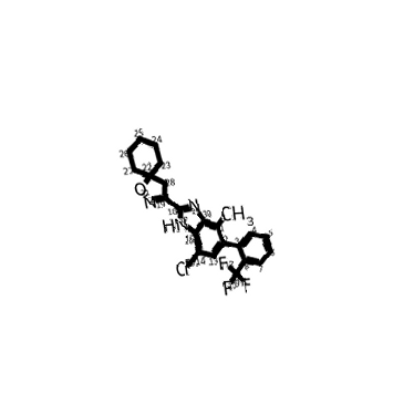 Cc1c(-c2ccccc2C(F)(F)F)cc(Cl)c2[nH]c(C3=NOC4(CCCCC4)C3)nc12